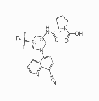 N#Cc1ccc(N2C[C@H](NC(=O)[C@@H]3CCCN3C(=O)O)C[C@H](C(F)(F)F)C2)c2cccnc12